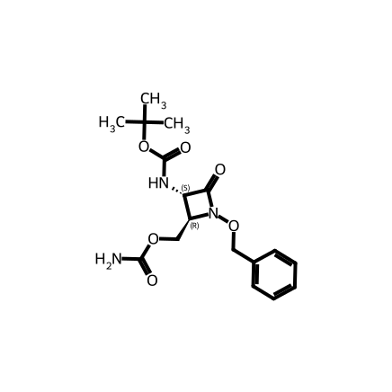 CC(C)(C)OC(=O)N[C@@H]1C(=O)N(OCc2ccccc2)[C@H]1COC(N)=O